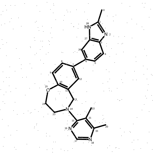 Cc1nc2ccc(-c3ccc4c(c3)CN(c3ncnc(C)c3C)CCO4)cc2[nH]1